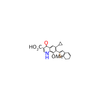 COc1c(-c2cc3c(s2)CCC=C3)c(C2CC2)cc2c(=O)c(C(=O)O)c[nH]c12